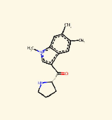 Cc1cc2c(C(=O)[C@@H]3CCCN3)cn(C)c2cc1C